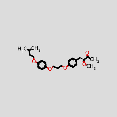 CO[C@@H](Cc1ccc(OCCCOc2ccc(OCCC(C)C)cc2)cc1)C(C)=O